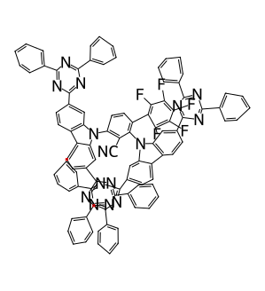 N#Cc1c(-n2c3cc(-c4nc(-c5ccccc5)nc(-c5ccccc5)n4)ccc3c3ccc(-c4nc(-c5ccccc5)nc(-c5ccccc5)n4)cc32)ccc(-c2c(F)c(F)c(F)c(F)c2F)c1-n1c2cc(-c3nc(-c4ccccc4)nc(-c4ccccc4)n3)ccc2c2ccc(-c3nc(-c4ccccc4)nc(-c4ccccc4)n3)cc21